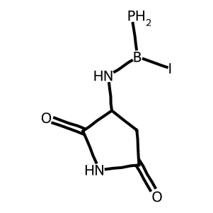 O=C1CC(NB(P)I)C(=O)N1